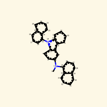 CN(c1ccc2c(c1)c1ccccc1n2-c1cccc2ccccc12)c1cccc2ccccc12